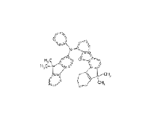 CC1(C)C2=C(CCC=C2)c2c1ccc1c2oc2c(N(c3ccccc3)c3ccc4c(c3)C(C)(C)c3ccccc3-4)cccc21